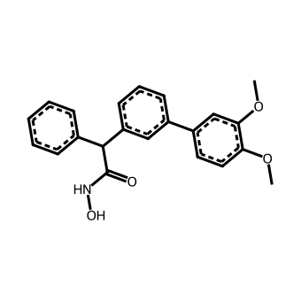 COc1ccc(-c2cccc(C(C(=O)NO)c3ccccc3)c2)cc1OC